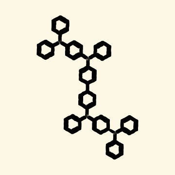 C1=CC(C2C=CC(N(c3ccccc3)c3ccc(N(c4ccccc4)c4ccccc4)cc3)=CC2)CC=C1N(C1=CC[C@H](N(c2ccccc2)c2ccccc2)C=C1)c1ccccc1